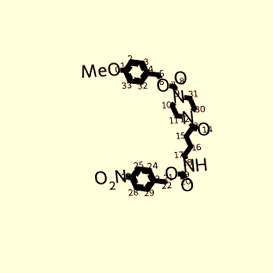 COc1ccc(COC(=O)N2CCN(C(=O)CCCNC(=O)OCc3ccc([N+](=O)[O-])cc3)CC2)cc1